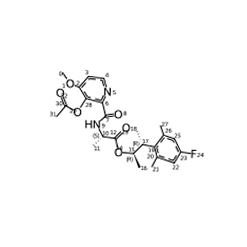 COc1ccnc(C(=O)N[C@@H](C)C(=O)O[C@H](C)[C@H](C)c2c(C)cc(F)cc2C)c1OC(C)=O